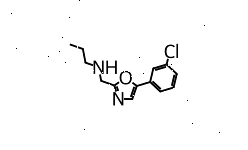 CCCNCc1ncc(-c2cccc(Cl)c2)o1